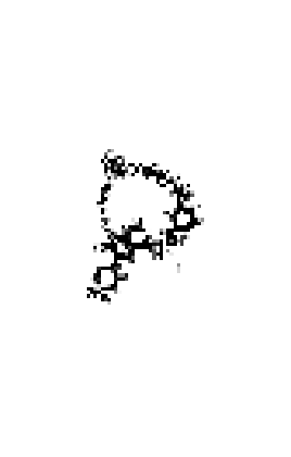 CO[C@H]1CCCCCn2c(=O)c(C3CCS(=O)(=O)CC3)cc3c(ncnc32)N[C@@H](C)c2cccc(c2)C(F)(F)C2CCN(CC2)C1